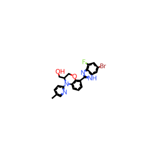 Cc1ccc(N2c3cccc(-c4nc5c(F)cc(Br)cc5[nH]4)c3OCC2CO)nc1